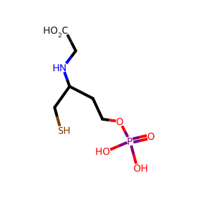 O=C(O)CNC(CS)CCOP(=O)(O)O